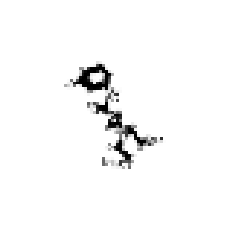 O=C(Nc1cccc(F)c1)N1CC(N(CCO)CCO)C1